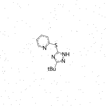 CC(C)(C)c1n[nH]c(Sc2ccccn2)n1